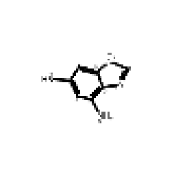 Nc1cc(S)cc2[nH]cnc12